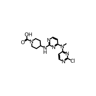 CN(c1ccnc(Cl)n1)c1ccnc(NC2CCN(C(=O)O)CC2)n1